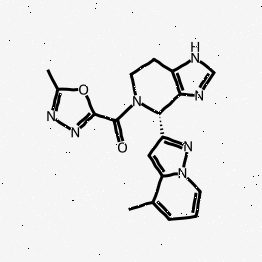 Cc1nnc(C(=O)N2CCc3[nH]cnc3[C@@H]2c2cc3c(C)cccn3n2)o1